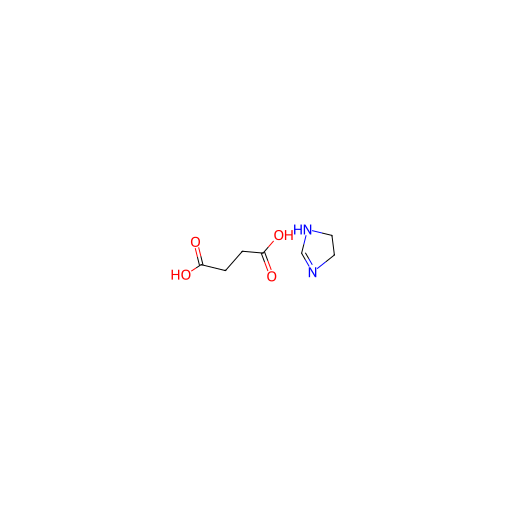 C1=NCCN1.O=C(O)CCC(=O)O